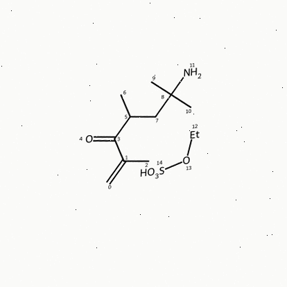 C=C(C)C(=O)C(C)CC(C)(C)N.CCOS(=O)(=O)O